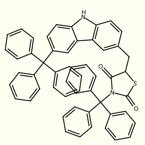 O=C1SC(Cc2ccc3[nH]c4ccc(C(c5ccccc5)(c5ccccc5)c5ccccc5)cc4c3c2)C(=O)N1C(c1ccccc1)(c1ccccc1)c1ccccc1